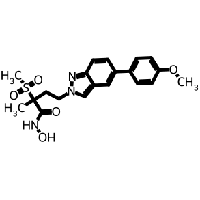 COc1ccc(-c2ccc3nn(CCC(C)(C(=O)NO)S(C)(=O)=O)cc3c2)cc1